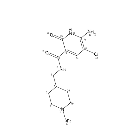 CCCN1CCC(CNC(=O)c2cc(Cl)c(N)[nH]c2=O)CC1